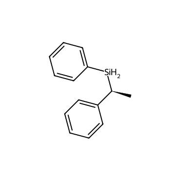 C[C@H]([SiH2]c1ccccc1)c1ccccc1